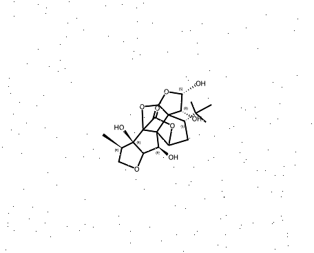 C[C@@H]1COC2[C@H](O)C34C5C[C@@H](C(C)(C)C)C36C(O[C@H](O)[C@@H]6O)OC4(C(=O)O5)[C@]21O